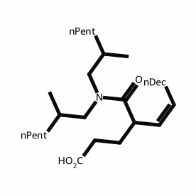 CCCCCCCCCC/C=C\C(CCC(=O)O)C(=O)N(CC(C)CCCCC)CC(C)CCCCC